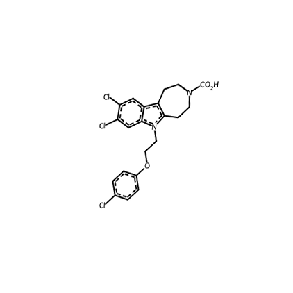 O=C(O)N1CCc2c(n(CCOc3ccc(Cl)cc3)c3cc(Cl)c(Cl)cc23)CC1